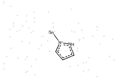 [Sn][n+]1ccc[nH]1